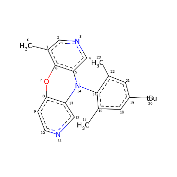 Cc1cncc2c1Oc1ccncc1N2c1c(C)cc(C(C)(C)C)cc1C